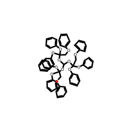 c1ccc(OCC(Oc2ccccc2)(Oc2ccccc2)OC(OC(COc2ccccc2)(Oc2ccccc2)Oc2ccccc2)OC(COc2ccccc2)(Oc2ccccc2)Oc2ccccc2)cc1